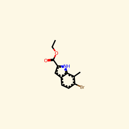 CCOC(=O)c1cc2ccc(Br)c(C)c2[nH]1